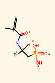 C=C(C)C(=O)NC(C)(CC)CP(=O)(O)O